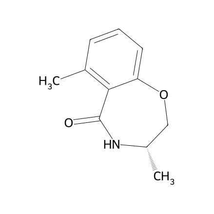 Cc1cccc2c1C(=O)N[C@@H](C)CO2